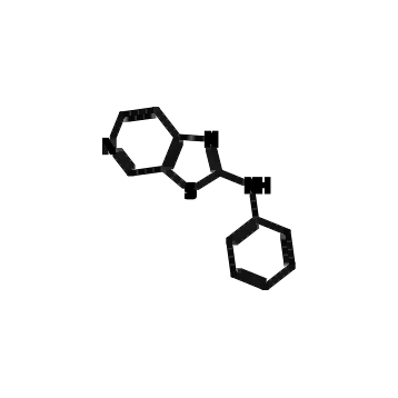 c1ccc(Nc2nc3ccncc3s2)cc1